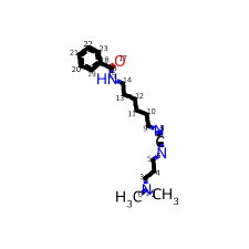 CN(C)CCCN=C=NCCCCCCNC(=O)c1ccccc1